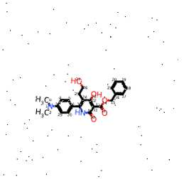 CN(C)c1ccc(-c2[nH]c(=O)c(C(=O)OCc3ccccc3)c(O)c2CCO)cc1